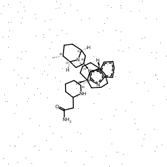 C[C@@H]1CC[C@H]2C[C@@H](n3c([C@H]4CCCC(CC(N)=O)N4)nc4ccccc43)C[C@@H]1N2[C@@H]1C[C@@H]2CCCC[C@@H](C2)C1